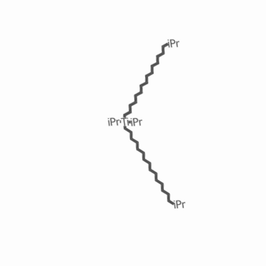 CC(C)CCCCCCCCCCCCCC[CH2][Ti]([CH2]CCCCCCCCCCCCCCC(C)C)([CH](C)C)[CH](C)C